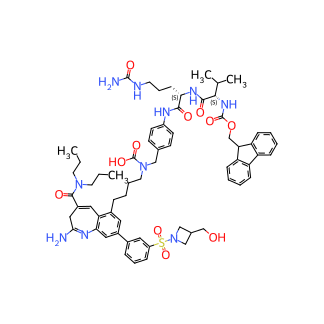 CCCN(CCC)C(=O)C1=Cc2c(CCCCN(Cc3ccc(NC(=O)[C@H](CCCNC(N)=O)NC(=O)[C@@H](NC(=O)OCC4c5ccccc5-c5ccccc54)C(C)C)cc3)C(=O)O)cc(-c3cccc(S(=O)(=O)N4CC(CO)C4)c3)cc2N=C(N)C1